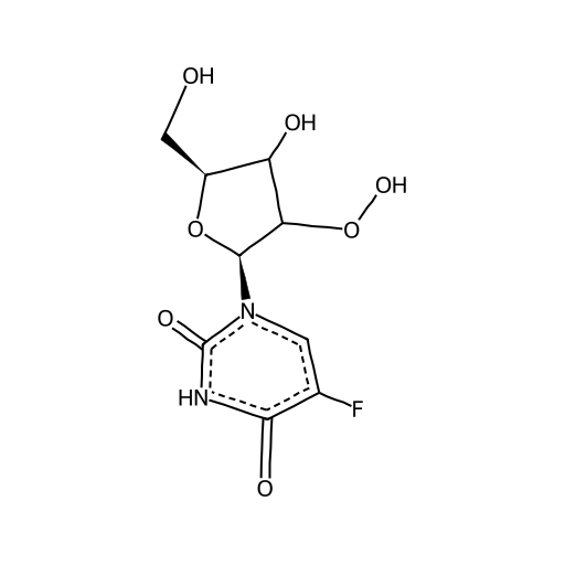 O=c1[nH]c(=O)n([C@H]2O[C@@H](CO)C(O)C2OO)cc1F